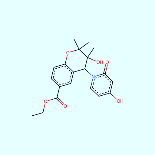 CCOC(=O)c1ccc2c(c1)C(n1ccc(O)cc1=O)C(C)(O)C(C)(C)O2